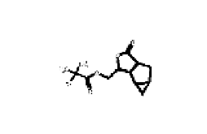 CCC(C)(C)C(=O)OCC1OC(=O)C2CC3CC3C12